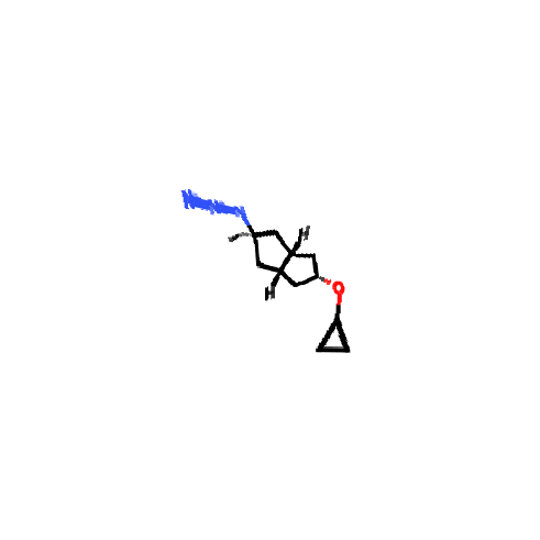 C[C@@]1(N=[N+]=[N-])C[C@H]2C[C@@H](OC3CC3)C[C@H]2C1